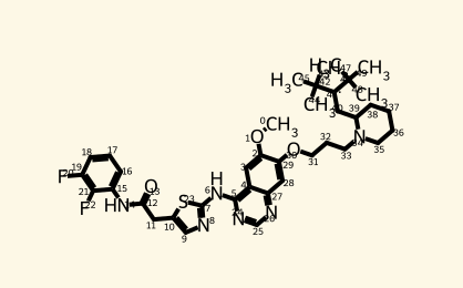 COc1cc2c(Nc3ncc(CC(=O)Nc4cccc(F)c4F)s3)ncnc2cc1OCCCN1CCCCC1C[C](C(C)(C)C)C(C)(C)C